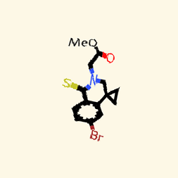 COC(=O)CN1CC2(CC2)c2cc(Br)ccc2C1=S